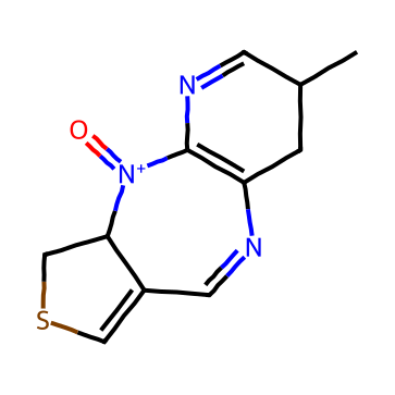 CC1C=NC2=C(C1)N=CC1=CSCC1[N+]2=O